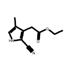 CCOC(=O)Cc1c(C)c[nH]c1C#N